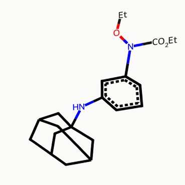 CCOC(=O)N(OCC)c1cccc(NC23CC4CC(CC(C4)C2)C3)c1